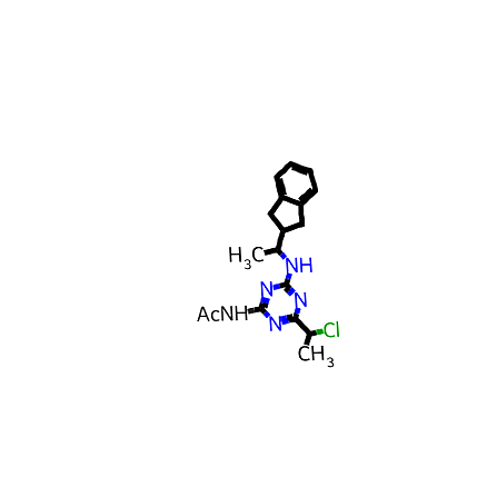 CC(=O)Nc1nc(NC(C)C2Cc3ccccc3C2)nc(C(C)Cl)n1